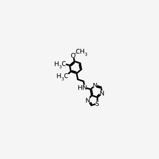 COc1ccc(CCNc2ncnc3scnc23)c(C)c1C